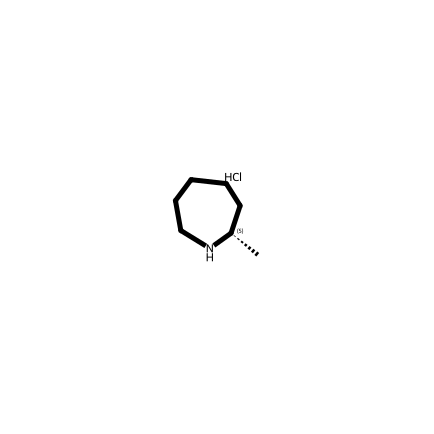 C[C@H]1CCCCCN1.Cl